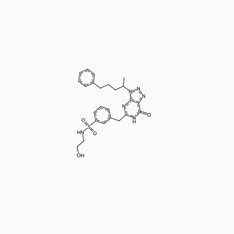 CC(CCCc1ccccc1)n1nnc2c(=O)[nH]c(Cc3cccc(S(=O)(=O)NCCO)c3)nc21